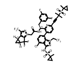 CC1(S(=O)(=O)Nc2nn(CC(F)(F)F)c3c(-c4ccc(C#CC(C)(C)S(=O)(=O)C5(C)CC5)nc4[C@H](Cc4cc(F)cc(F)c4)NC(=O)Cn4nc(C(F)(F)F)c5c4C(F)(F)[C@@H]4C[C@H]54)ccc(Cl)c23)CC1